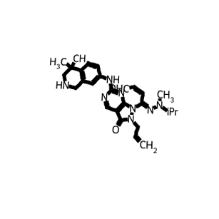 C=CCn1c(=O)c2cnc(Nc3ccc4c(c3)CNCC4(C)C)nc2n1C(/C=C\C=O)=N/N(C)C(C)C